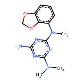 CN(C)c1nc(N)nc(N(C)c2cccc3c2OCO3)n1